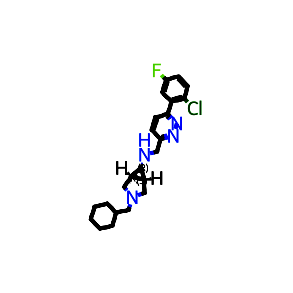 Fc1ccc(Cl)c(-c2ccc(CN[C@@H]3[C@@H]4CN(CC5CCCCC5)C[C@@H]43)nn2)c1